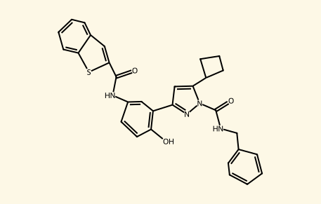 O=C(Nc1ccc(O)c(-c2cc(C3CCC3)n(C(=O)NCc3ccccc3)n2)c1)c1cc2ccccc2s1